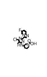 Cc1c(Cl)nc(-c2cnc3ccc(F)cn23)nc1N[C@@H]1CCCN(C(=O)O)C1